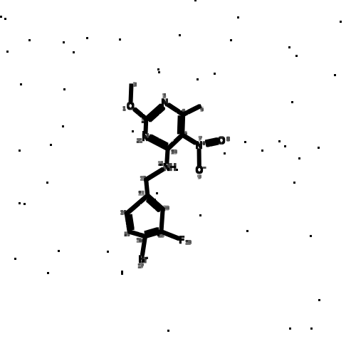 COc1nc(C)c([N+](=O)[O-])c(NCc2ccc(Br)c(F)c2)n1